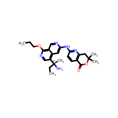 CCCOc1ncc([C@](C)(N)CC)c2cc(Nc3ccc4c(n3)CC(C)(C)OC4=O)ncc12